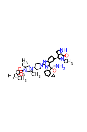 C[C@@H]1CN(C2CCN(c3nc([C@@](CN)(OC4CC4)c4ccccc4)c4cc(-c5cn(C)c(=O)c6[nH]ccc56)ccc4n3)CC2)[C@@H](C)CN1C(=O)OC(C)(C)C